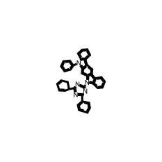 C1=CCC(c2nc(-c3ccccc3)nc(-n3c4ccccc4c4cc5c6ccccc6n(-c6ccccc6)c5cc43)n2)C=C1